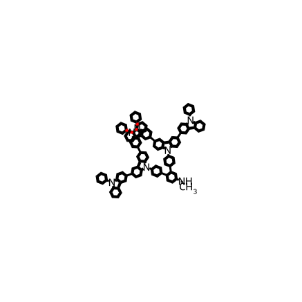 CNc1ccc(-c2ccc(-n3c4ccc(-c5ccc6c(c5)c5ccccc5n6-c5ccccc5)cc4c4cc(-c5ccc6c(c5)c5ccccc5n6-c5ccccc5)ccc43)cc2)c(-c2ccc(-n3c4ccc(-c5ccc6c(c5)c5ccccc5n6-c5ccccc5)cc4c4cc(-c5ccc6c(c5)c5ccccc5n6-c5ccccc5)ccc43)cc2)c1